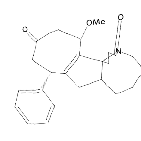 COC1CC(=O)C[C@@H](c2ccccc2)C2=C1C13CCC(=O)N1CCCCC3C2